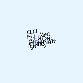 C=CC(=O)Nc1cc(NC(=N)/C=C(\NN)N2OCC[C@@H]2c2ccc(Cl)c(Cl)c2F)c(OC)cc1N1CCC(N(C)C)C1